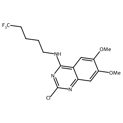 COc1cc2nc(Cl)nc(NCCCCC(F)(F)F)c2cc1OC